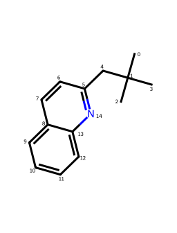 CC(C)(C)Cc1ccc2ccccc2n1